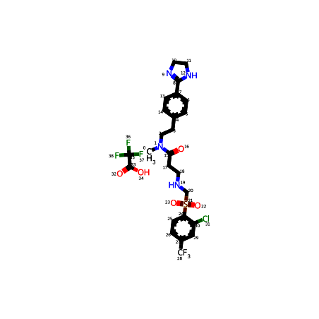 CN(CCc1ccc(C2=NCCN2)cc1)C(=O)CCNCS(=O)(=O)c1ccc(C(F)(F)F)cc1Cl.O=C(O)C(F)(F)F